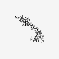 COC(=O)NC(C)(C)C(=O)N1CCC[C@H]1c1ncc(-c2ccc(-c3ccc(-c4cnc([C@@H]5CCCN5C(=O)C(C)(C)N(C)C(=O)O)[nH]4)cc3)cc2)[nH]1